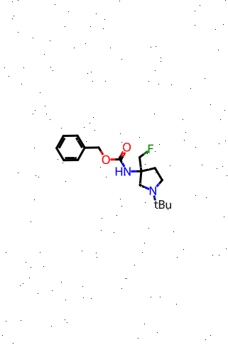 CC(C)(C)N1CCC(CF)(NC(=O)OCc2ccccc2)C1